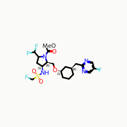 COC(=O)N1C(C(F)F)C[C@H](NS(=O)(=O)CF)[C@@H]1CO[C@H]1CCC[C@H](Cc2ncc(F)cn2)C1